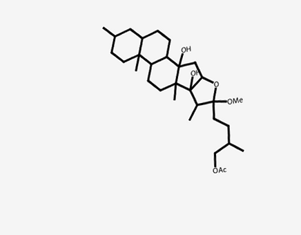 COC1(CCC(C)COC(C)=O)OC2CC3(O)C4CCC5CC(C)CCC5(C)C4CCC3(C)C2(O)C1C